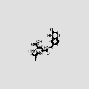 O=C1COc2ccc(CNC(=O)C3=NC4=C(F)CNN4C(C(=O)O)=C3)cc2N1